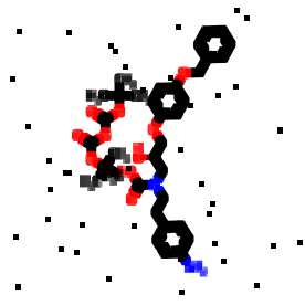 CC(C)(C)OC(=O)OC(=O)OC(C)(C)C.Nc1ccc(CCN(C[C@H](O)COc2ccc(OCc3ccccc3)cc2)C(=O)O)cc1